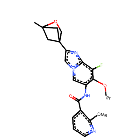 COc1ncccc1C(=O)Nc1cn2cc(C34COC(C)(C3)C4)nc2c(F)c1OC(C)C